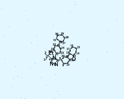 CCC(C)(C)c1nnc(-c2ccc3oc4ccccc4c3c2)n1-c1ccc(-c2ccccc2)cc1C